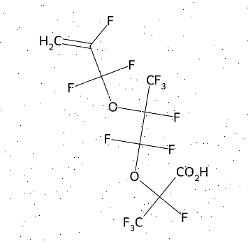 C=C(F)C(F)(F)OC(F)(C(F)(F)F)C(F)(F)OC(F)(C(=O)O)C(F)(F)F